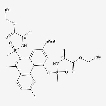 C=C(C)c1ccc(C)cc1-c1c(OP(C)(=O)N[C@@H](C)C(=O)OCC(C)(C)C)cc(CCCCC)cc1OP(C)(=O)N[C@@H](C)C(=O)OCC(C)(C)C